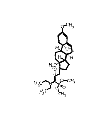 CCN(CC)/C(=C/C[C@]1(O)CC[C@H]2[C@@H]3CC=C4C=C(OC)CC[C@]4(C)[C@H]3CC[C@@]21C)P(=O)(OC)OC